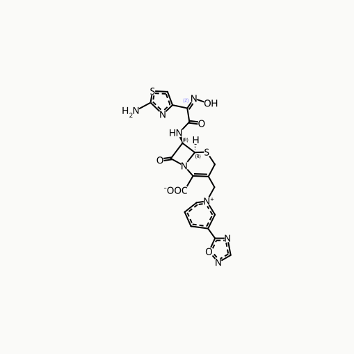 Nc1nc(/C(=N/O)C(=O)N[C@@H]2C(=O)N3C(C(=O)[O-])=C(C[n+]4cccc(-c5ncno5)c4)CS[C@H]23)cs1